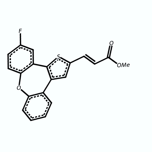 COC(=O)C=Cc1cc2c(s1)-c1cc(F)ccc1Oc1ccccc1-2